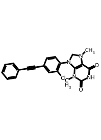 CN1CN(c2ccc(C#Cc3ccccc3)cc2Cl)c2c1c(=O)[nH]c(=O)n2C